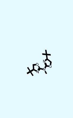 CN(C1=NC(C(C)(C)C)CO1)C1=NC(C(C)(C)C)CO1